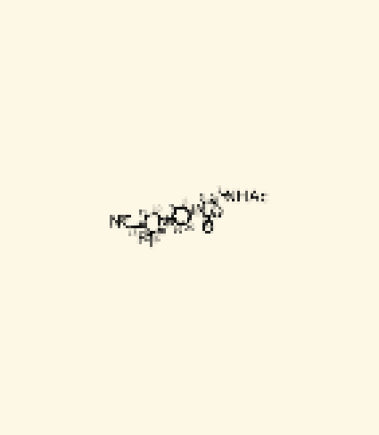 CC(=O)NC[C@H]1CN(c2ccc(N3CCC(=CC#N)C(F)(F)C3)cc2)C(=O)O1